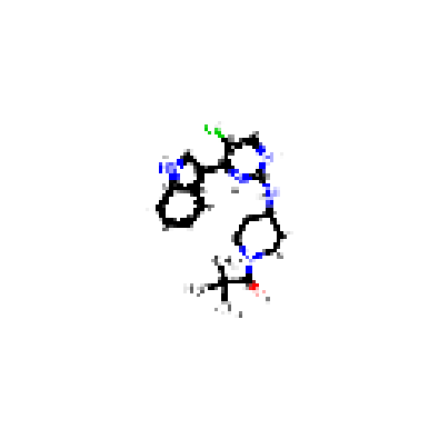 CC(C)(C)C(=O)N1CCC(Nc2ncc(Cl)c(-c3c[nH]c4ccccc34)n2)CC1